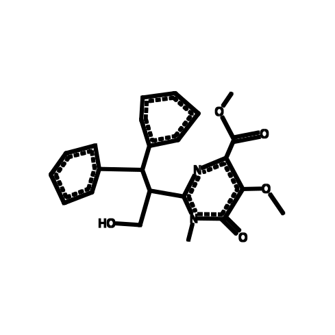 COC(=O)c1nc(C(CO)C(c2ccccc2)c2ccccc2)n(C)c(=O)c1OC